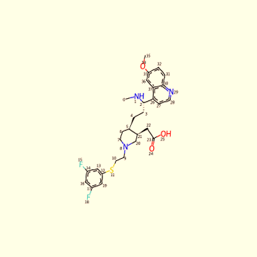 CN[C@@H](CC[C@@H]1CCN(CCSc2cc(F)cc(F)c2)C[C@@H]1CC(=O)O)c1ccnc2ccc(OC)cc12